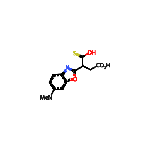 CNc1ccc2nc(C(CC(=O)O)C(O)=S)oc2c1